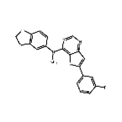 CN(c1ccc2c(c1)OCO2)c1ncnc2cc(-c3cccc(F)c3)sc12